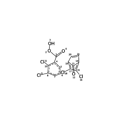 O=C(OO)c1cccc(Cl)c1Cl.O=C1C2=C(Cl)C(Cl)=C1C=C2